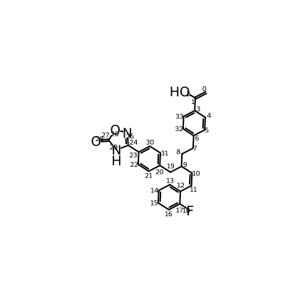 C=C(O)c1ccc(CCC(/C=C\c2ccccc2F)Cc2ccc(-c3noc(=O)[nH]3)cc2)cc1